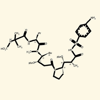 CC[C@H](C)[C@@H]([C@H](CC(=O)N1CCC[C@H]1[C@H](OC)[C@@H](C)C(=O)NS(=O)(=O)c1ccc(N)cc1)OC)N(C)C(=O)[C@@H](NC(=O)C(C)(C)NC(=O)O)C(C)C